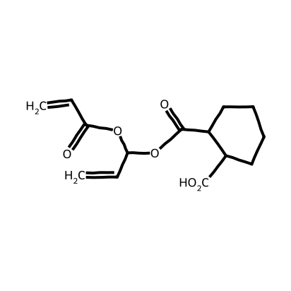 C=CC(=O)OC(C=C)OC(=O)C1CCCCC1C(=O)O